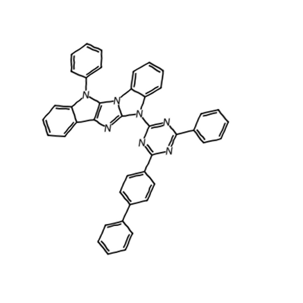 c1ccc(-c2ccc(-c3nc(-c4ccccc4)nc(-n4c5ccccc5n5c4nc4c6ccccc6n(-c6ccccc6)c45)n3)cc2)cc1